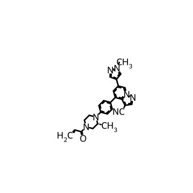 C=CC(=O)N1CCN(c2ccc(-c3cc(-c4cnn(C)c4)cn4ncc(C#N)c34)cc2)[C@@H](C)C1